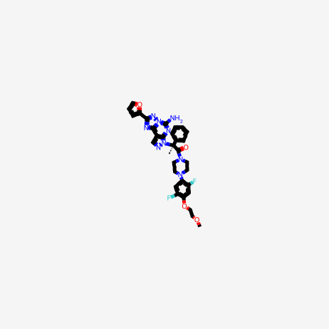 COCCOc1cc(F)c(N2CCN(C(=O)[C@](C)(c3ccccc3)n3ncc4c3nc(N)n3nc(-c5ccco5)nc43)CC2)cc1F